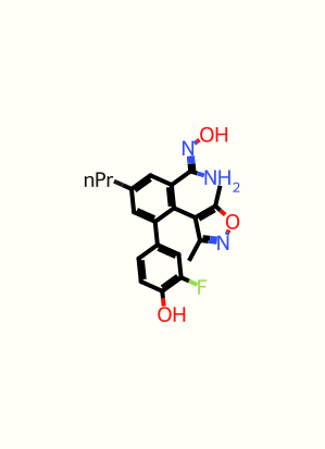 CCCc1cc(/C(N)=N/O)c(-c2c(C)noc2C)c(-c2ccc(O)c(F)c2)c1